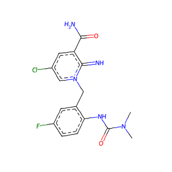 CN(C)C(=O)Nc1ccc(F)cc1Cn1cc(Cl)cc(C(N)=O)c1=N